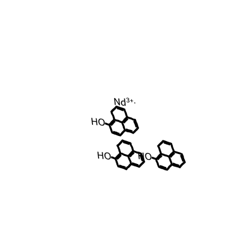 Oc1ccc2cccc3c2c1CC=C3.Oc1ccc2cccc3c2c1CC=C3.Oc1ccc2cccc3c2c1CC=C3.[Nd+3]